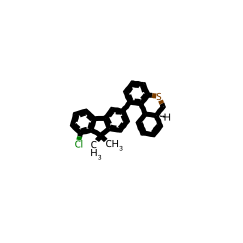 CC1(C)c2ccc(-c3cccc4c3C3C=CC=C[C@@H]3CS4)cc2-c2cccc(Cl)c21